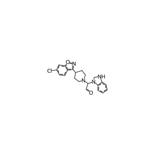 O=CC(N1CCC(c2noc3cc(Cl)ccc23)CC1)N1CNc2ccccc21